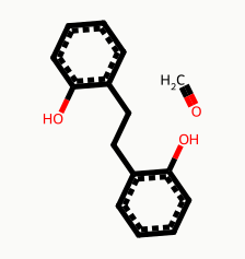 C=O.Oc1ccccc1CCc1ccccc1O